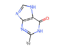 [2H]c1nc2nc[nH]c2c(=O)[nH]1